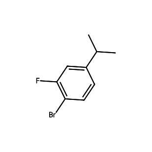 CC(C)c1ccc(Br)c(F)c1